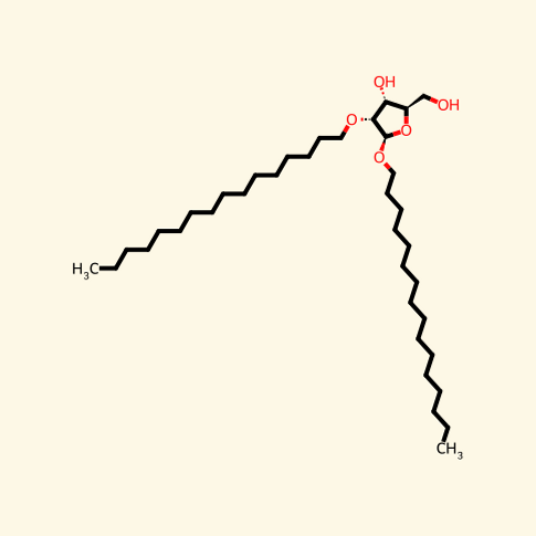 CCCCCCCCCCCCCCCCO[C@@H]1O[C@H](CO)[C@@H](O)[C@H]1OCCCCCCCCCCCCCCCC